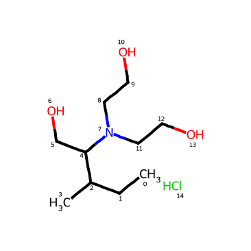 CCC(C)C(CO)N(CCO)CCO.Cl